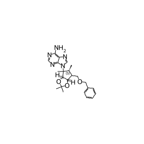 C[C@H]1C(COCc2ccccc2)[C@H]2OC(C)(C)O[C@H]2C1(C)n1cnc2c(N)ncnc21